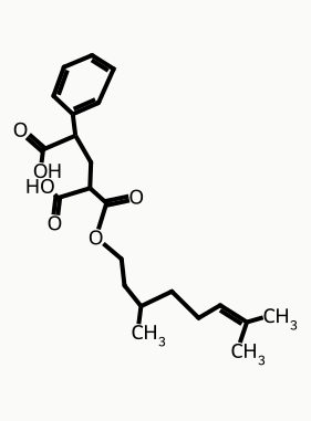 CC(C)=CCCC(C)CCOC(=O)C(CC(C(=O)O)c1ccccc1)C(=O)O